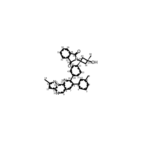 Cc1cccc(-c2cc3cnc4cc(C)nn4c3nc2-c2ccc([C@]3(N4C(=O)c5ccccc5C4=O)C[C@@](C)(O)C3)cc2)c1